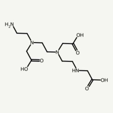 NCCN(CCN(CCNCC(=O)O)CC(=O)O)CC(=O)O